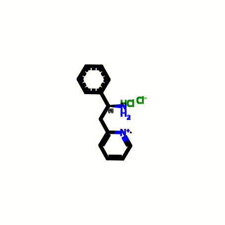 Cl.N[C@@H](CC1=CC=CC=[N+]1)c1ccccc1.[Cl-]